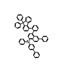 c1ccc(-c2ccc(N(c3ccccc3)c3ccc(-c4ccccc4-c4cccc5c4-c4ccccc4C5(c4ccccc4)c4ccccc4)c4cc(-c5ccccc5)ccc34)cc2)cc1